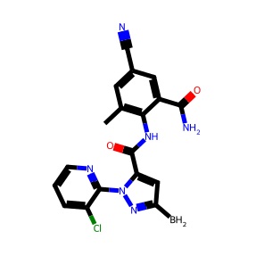 Bc1cc(C(=O)Nc2c(C)cc(C#N)cc2C(N)=O)n(-c2ncccc2Cl)n1